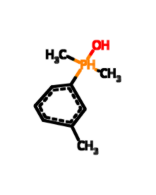 Cc1cccc([PH](C)(C)O)c1